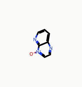 [O-][n+]1ccnc2cccnc21